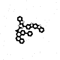 c1ccc(-c2ccc3c(c2)-c2c(ccc4ccccc24)CC32CC2c2nc(-c3ccc4c(c3)sc3cc5oc6ccccc6c5cc34)c3oc4ccccc4c3n2)cc1